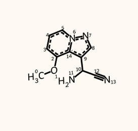 COc1cccn2ncc(C(N)C#N)c12